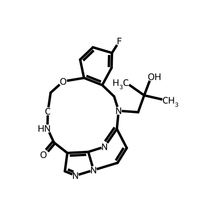 CC(C)(O)CN1Cc2cc(F)ccc2OCCNC(=O)c2cnn3ccc1nc23